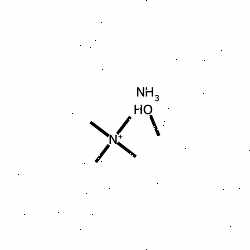 CO.C[N+](C)(C)C.N